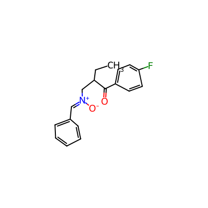 CCC(C[N+]([O-])=Cc1ccccc1)C(=O)c1ccc(F)cc1